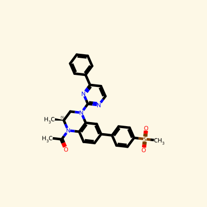 CC(=O)N1c2ccc(-c3ccc(S(C)(=O)=O)cc3)cc2N(c2nccc(-c3ccccc3)n2)C[C@@H]1C